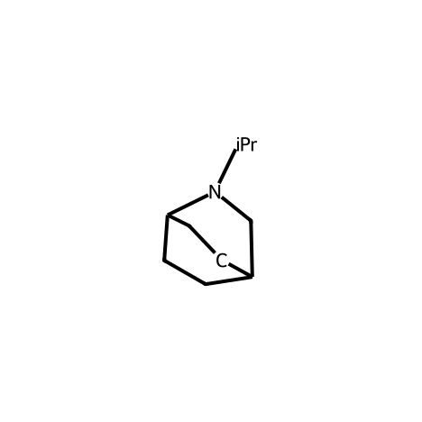 CC(C)N1CC2CCC1CC2